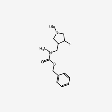 CN(CC1CN(C(C)(C)C)CC1F)C(=O)OCc1ccccc1